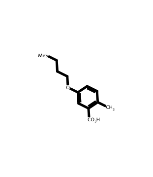 CSCCCOc1ccc(C)c(C(=O)O)c1